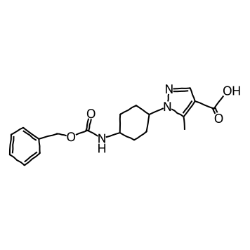 Cc1c(C(=O)O)cnn1C1CCC(NC(=O)OCc2ccccc2)CC1